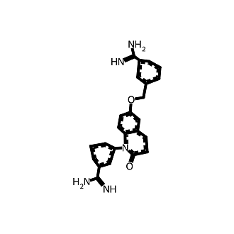 N=C(N)c1cccc(COc2ccc3c(ccc(=O)n3-c3cccc(C(=N)N)c3)c2)c1